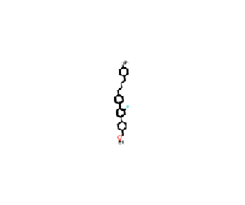 CCCC1CCC(CCCCc2ccc(-c3ccc(C4CCC(COCC)CC4)cc3F)cc2)CC1